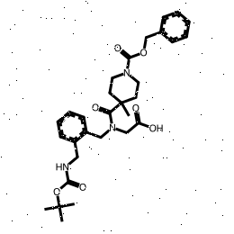 CC(C)(C)OC(=O)NCc1ccccc1CN(CC(=O)O)C(=O)C1(C)CCN(C(=O)OCc2ccccc2)CC1